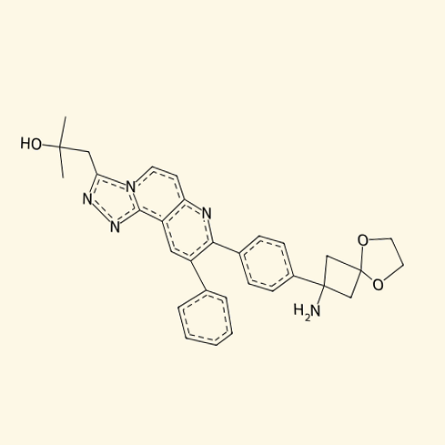 CC(C)(O)Cc1nnc2c3cc(-c4ccccc4)c(-c4ccc(C5(N)CC6(C5)OCCO6)cc4)nc3ccn12